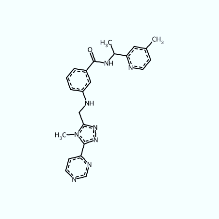 Cc1ccnc(C(C)NC(=O)c2cccc(NCc3nnc(-c4ccncn4)n3C)c2)c1